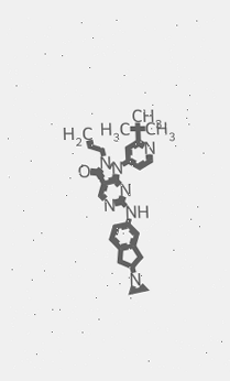 C=CCn1c(=O)c2cnc(Nc3ccc4c(c3)CC(N3CC3)C4)nc2n1-c1ccnc(C(C)(C)C)c1